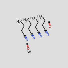 CCCC#N.CCCC#N.CCCC#N.CCCC#N.[C]=O.[C]=O.[W]